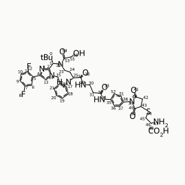 CC(C)(C)[C@H](c1nc(-c2cc(F)ccc2F)cn1Cc1ccccc1)N(CC[C@H](N)C(=O)NCCC(=O)Nc1ccc(N2C(=O)CC(SC[C@H](N)C(=O)O)C2=O)cc1)C(=O)CO